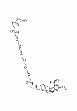 CCCCCNc1nc(N)nc2ccn(Cc3ccc(CN4CCN(C(=O)CCOCCOCCOCCOCCOCCOCCNC(=O)CCN(C)C(=O)/C=C\C=O)CC4)cc3OC)c12